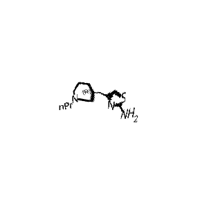 CCCN1CCC[C@@H](c2csc(N)n2)C1